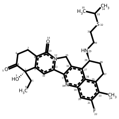 CC[C@@]1(O)C(=O)CCc2c1cc1n(c2=O)Cc2c-1nc1cc(F)c(C)c3c1c2[C@@H](NCCSC(C)C)CC3